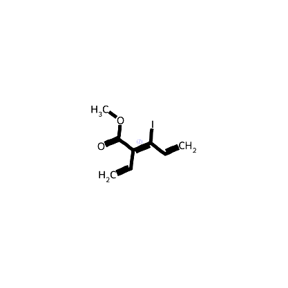 C=C/C(I)=C(\C=C)C(=O)OC